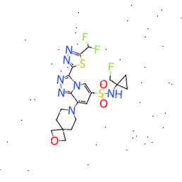 O=S(=O)(NC1(CF)CC1)c1cc(N2CCC3(CC2)COC3)c2nnc(-c3nnc(C(F)F)s3)n2c1